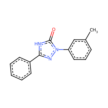 Cc1cccc(-n2nc(-c3ccccc3)[nH]c2=O)c1